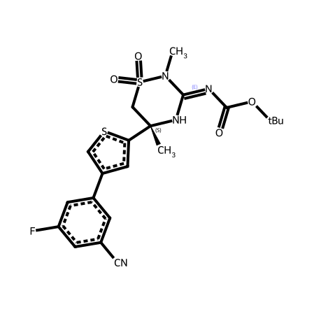 CN1/C(=N/C(=O)OC(C)(C)C)N[C@](C)(c2cc(-c3cc(F)cc(C#N)c3)cs2)CS1(=O)=O